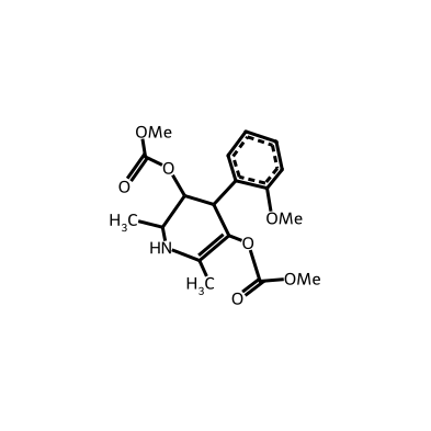 COC(=O)OC1=C(C)NC(C)C(OC(=O)OC)C1c1ccccc1OC